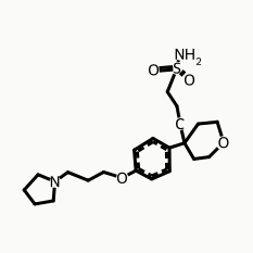 NS(=O)(=O)CCCC1(c2ccc(OCCCN3CCCC3)cc2)CCOCC1